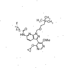 COc1ncnc(OC2CC2)c1-c1nn(COCC[Si](C)(C)C)c2nc(NC(=O)[C@@H]3C[C@@H]3F)ccc12